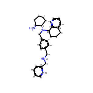 N[C@H]1CCCC[C@@H]1N(Cc1ccc(CNCc2ccccn2)cc1)C1CCCc2cccnc21